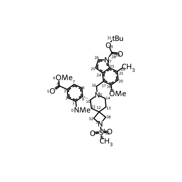 CNc1cc(C(=O)OC)ccc1[C@H]1CC2(CCN1Cc1c(OC)cc(C)c3c1ccn3C(=O)OC(C)(C)C)CN(S(C)(=O)=O)C2